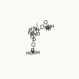 CCCc1nc(C(F)(F)C(F)(F)F)c(C(=O)NCC(=O)OCc2ccc(CON(O)O)cc2)n1Cc1ccc(-c2ccccc2-c2nnn[nH]2)cc1